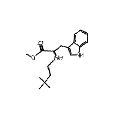 COC(=O)C(Cc1c[nH]c2ccccc12)NCCC(C)(C)C